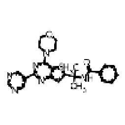 CC(C)(NC(=O)c1ccccc1)c1cc2nc(-c3cncnc3)nc(N3CCOCC3)c2s1